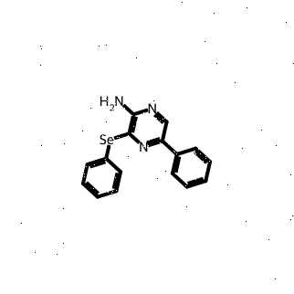 Nc1ncc(-c2ccccc2)nc1[Se]c1ccccc1